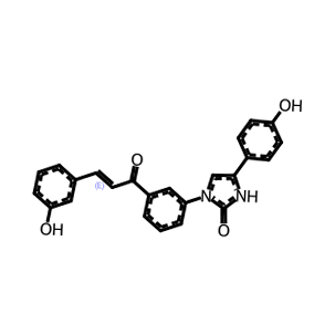 O=C(/C=C/c1cccc(O)c1)c1cccc(-n2cc(-c3ccc(O)cc3)[nH]c2=O)c1